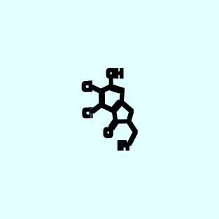 CC(C)CC1Cc2cc(O)c(Cl)c(Cl)c2C1=O